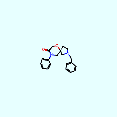 O=C1CO[C@@]2(CCN(Cc3ccccc3)C2)CN1c1ccccc1